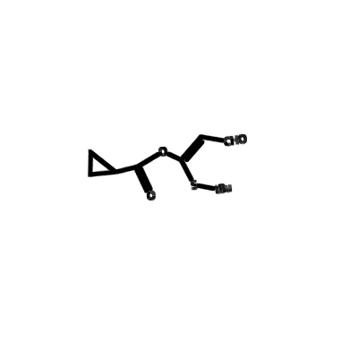 CC(C)(C)SC(=CC=O)OC(=O)C1CC1